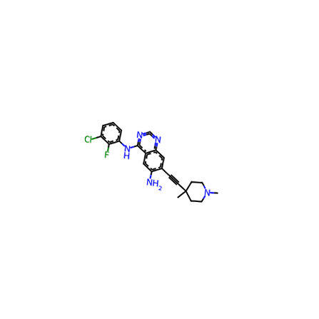 CN1CCC(C)(C#Cc2cc3ncnc(Nc4cccc(Cl)c4F)c3cc2N)CC1